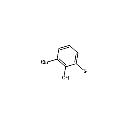 CC(C)(C)c1cccc([S])c1O